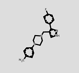 Cc1ccc(N2CCN(Cc3c[nH]nc3-c3ccc(F)cc3)CC2)cc1